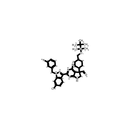 CC(C)(C)[Si](C)(C)OCC1CCC(C2(C=O)CNc3nc(-c4nn(Cc5cccc(F)c5)c5cc(Cl)ccc45)nc(N)c32)CC1